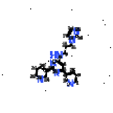 c1cncc(-c2cc(NCCCn3ccnc3)nc(-c3cccnc3)n2)c1